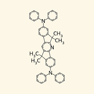 CC1(C)c2cc(N(c3ccccc3)c3ccccc3)ccc2-c2nc3c(cc21)-c1ccc(N(c2ccccc2)c2ccccc2)cc1C3(C)C